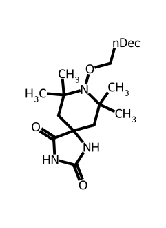 CCCCCCCCCCCON1C(C)(C)CC2(CC1(C)C)NC(=O)NC2=O